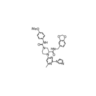 COc1ccc(NC(=O)N2CCN(c3cc(C)nc(-n4ccnc4)n3)C(C(=O)NCc3ccc4c(c3)OCO4)C2)cc1